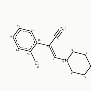 N#CC(=CN1CCCCC1)c1ccccc1Cl